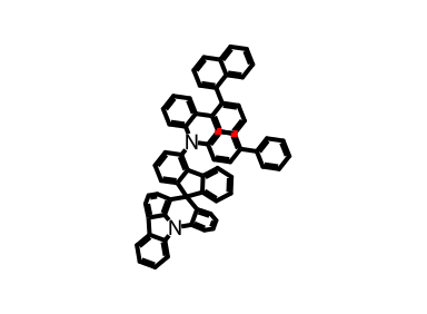 c1ccc(-c2ccc(N(c3ccccc3-c3ccccc3-c3cccc4ccccc34)c3cccc4c3-c3ccccc3C43c4ccccc4-n4c5ccccc5c5cccc3c54)cc2)cc1